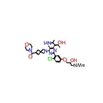 CNC[C@@H](O)COc1ccc(Cl)c(-c2nc(/C(C(C)=N)=C(\C)O)c(C)c(N3CC4(CC(C(=O)N5CCOCC5)C4)C3)n2)c1